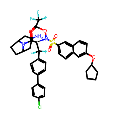 NC1CC2CCC(C1)N2C(=O)[C@@H](N(OC(=O)C(F)(F)F)S(=O)(=O)c1ccc2cc(OC3CCCC3)ccc2c1)C(F)(F)c1ccc(-c2ccc(Cl)cc2)cc1